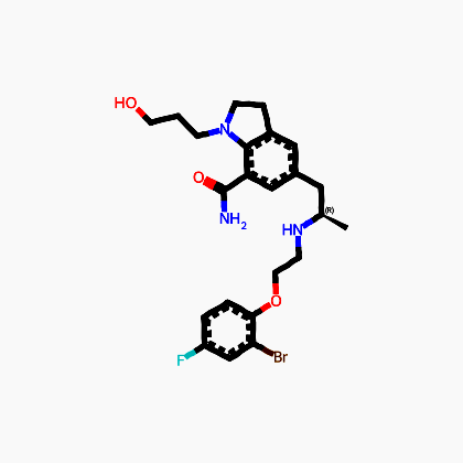 C[C@H](Cc1cc2c(c(C(N)=O)c1)N(CCCO)CC2)NCCOc1ccc(F)cc1Br